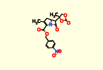 CC1=C(C(=O)OCc2ccc([N+](=O)[O-])cc2)N2C(=O)C(C3(C)COC(=O)O3)C2C1